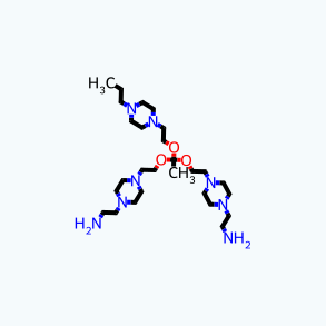 CCCN1CCN(CCOC(C)(OCCN2CCN(CCN)CC2)OCCN2CCN(CCN)CC2)CC1